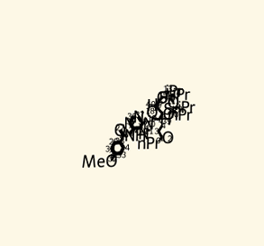 CCCC(=O)CC[C@H]1[C@@H]2O[Si](C(C)C)(C(C)C)O[Si](C(C)C)(C(C)C)OC[C@H]2O[C@H]1n1cnc2c(NC(=O)c3ccc(OC)cc3)ncnc21